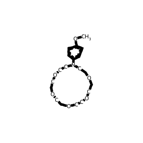 COc1ccc(N2CCOCCOCCOCCOCCOCC2)cc1